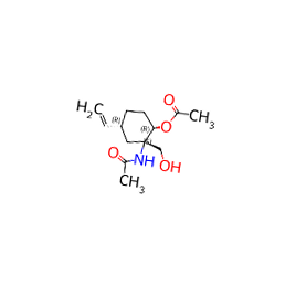 C=C[C@@H]1CC[C@@H](OC(C)=O)[C@](CO)(NC(C)=O)C1